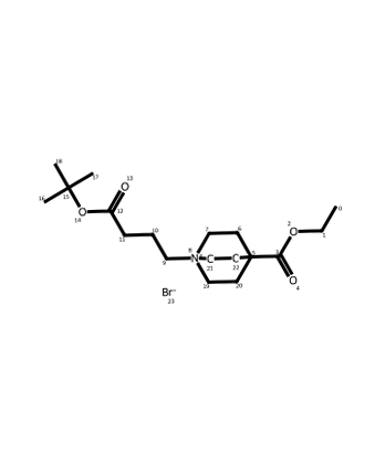 CCOC(=O)C12CC[N+](CCCC(=O)OC(C)(C)C)(CC1)CC2.[Br-]